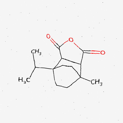 CC(C)C12CCC(C)(CC1)C1C(=O)OC(=O)C12